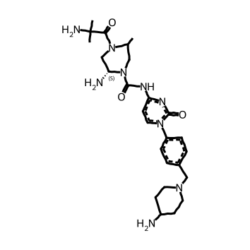 CC1CN(C(=O)Nc2ccn(-c3ccc(CN4CCC(N)CC4)cc3)c(=O)n2)[C@H](N)CN1C(=O)C(C)(C)N